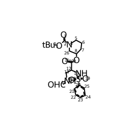 CC(C)(C)OC(=O)N1CCCC(OC(=O)C(CNC=O)NS(=O)(=O)c2ccccc2)C1